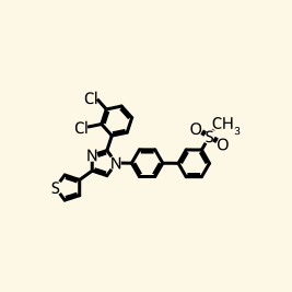 CS(=O)(=O)c1cccc(-c2ccc(-n3cc(-c4ccsc4)nc3-c3cccc(Cl)c3Cl)cc2)c1